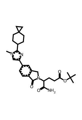 Cn1cc(-c2ccc3c(c2)CN(C(CCC(=O)OC(C)(C)C)C(N)=O)C3=O)nc1C1CCC2(CC1)CC2